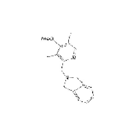 COc1c(C)cnc(CN2Cc3ccccc3C2)c1C